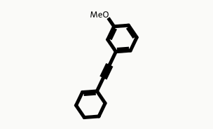 COc1cccc(C#CC2=CCCCC2)c1